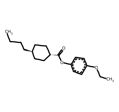 CCCC[C@H]1CC[C@H](C(=O)Oc2ccc(OCC)cc2)CC1